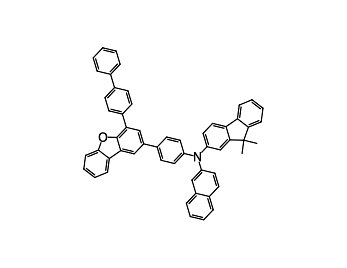 CC1(C)c2ccccc2-c2ccc(N(c3ccc(-c4cc(-c5ccc(-c6ccccc6)cc5)c5oc6ccccc6c5c4)cc3)c3ccc4ccccc4c3)cc21